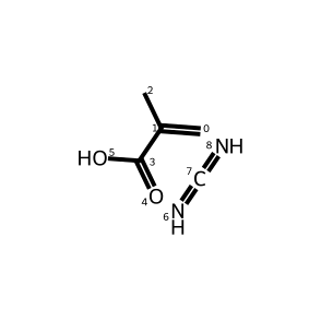 C=C(C)C(=O)O.N=C=N